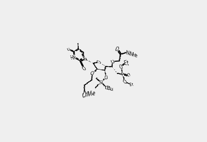 CCOP(=O)(C[C@@H](OCC(=O)NC)[C@H]1O[C@@H](n2cc(C)c(=O)[nH]c2=O)[C@H](OCCOC)[C@@H]1O[Si](C)(C)C(C)(C)C)OCC